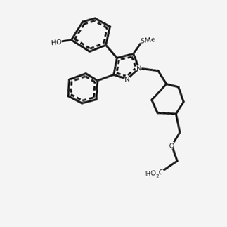 CSc1c(-c2cccc(O)c2)c(-c2ccccc2)nn1CC1CCC(COCC(=O)O)CC1